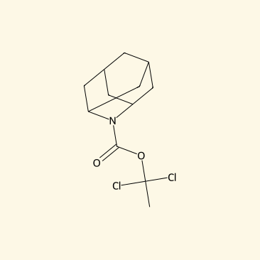 CC(Cl)(Cl)OC(=O)N1C2CC3CC(C2)CC1C3